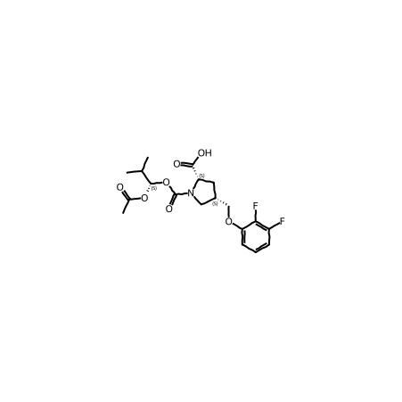 CC(=O)O[C@@H](OC(=O)N1C[C@@H](COc2cccc(F)c2F)C[C@H]1C(=O)O)C(C)C